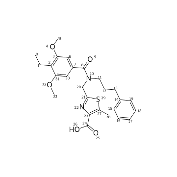 CCc1c(OC)cc(C(=O)N(CCCc2ccccc2)Cc2nc(C(=O)O)c(C)s2)cc1OC